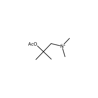 CC(=O)OC(C)(C)C[N+](C)C